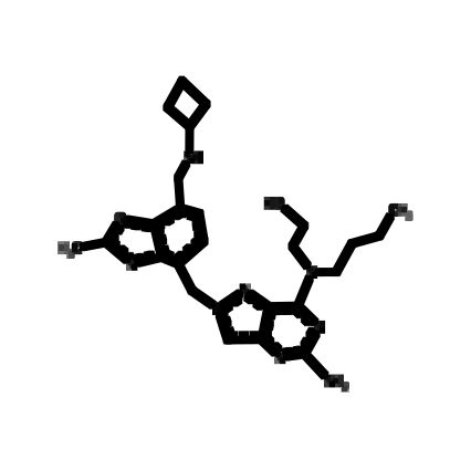 CCCCN(CCO)c1nc(N)nc2cn(Cc3ccc(CNC4CCC4)c4oc(C)nc34)nc12